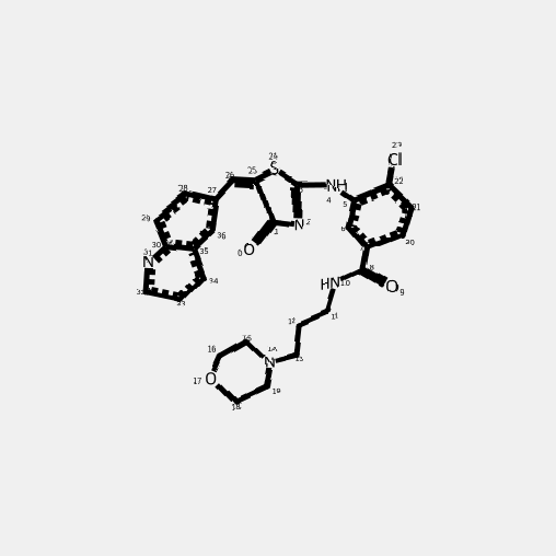 O=C1N=C(Nc2cc(C(=O)NCCCN3CCOCC3)ccc2Cl)SC1=Cc1ccc2ncccc2c1